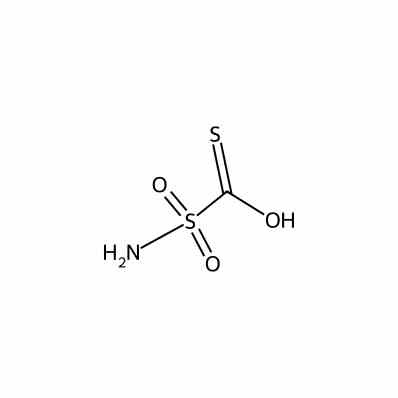 NS(=O)(=O)C(O)=S